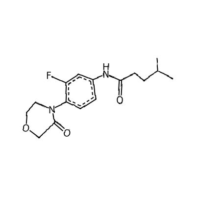 CC(C)CCC(=O)Nc1ccc(N2CCOCC2=O)c(F)c1